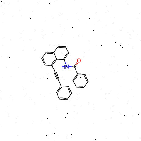 O=C(Nc1cccc2cccc(C#Cc3ccccc3)c12)c1ccccc1